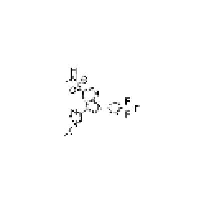 CNS(=O)(=O)c1cnc2c(c1)c(-c1cn(C3CC3)cn1)cn2-c1ccc(C(F)(F)F)cc1